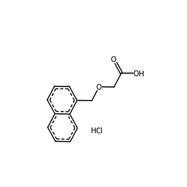 Cl.O=C(O)COCc1cccc2ccccc12